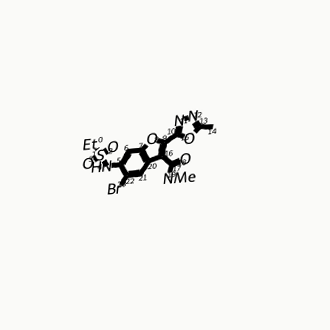 CCS(=O)(=O)Nc1cc2oc(-c3nnc(C)o3)c(C(=O)NC)c2cc1Br